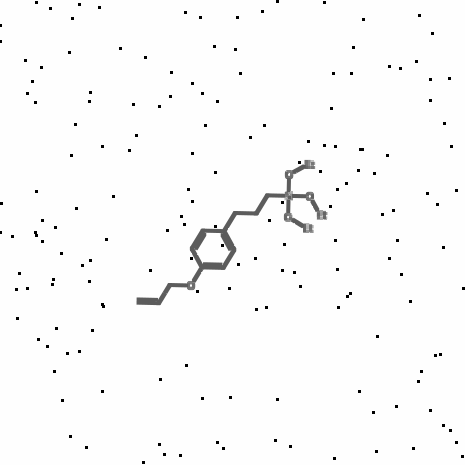 C=CCOc1ccc(CCC[Si](OCC)(OCC)OCC)cc1